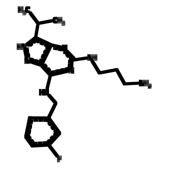 CC(C)c1[nH]nc2c(NCc3cccc(F)c3)nc(NCCCN)nc12